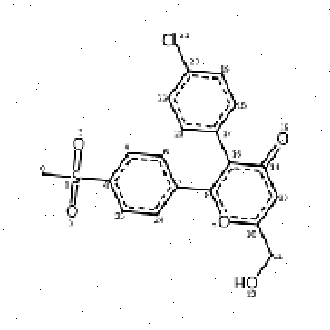 CS(=O)(=O)c1ccc(-c2oc(CO)cc(=O)c2-c2ccc(Cl)cc2)cc1